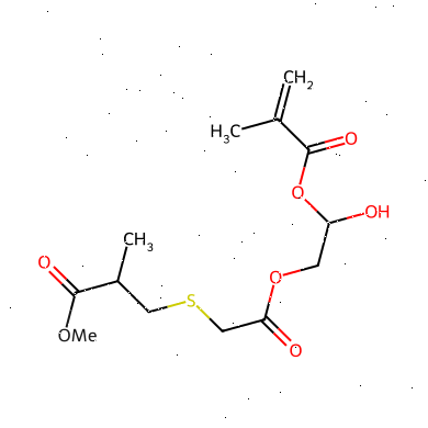 C=C(C)C(=O)OC(O)COC(=O)CSCC(C)C(=O)OC